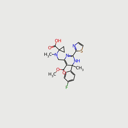 COC(=O)C1=C(CN(C)C2(C(=O)O)CC2)N=C(c2nccs2)NC1(C)c1ccc(F)cc1